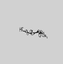 C#CCOC(=O)CCC(=O)OCCOC(=O)C(=C)C